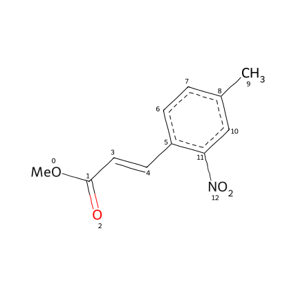 COC(=O)C=Cc1ccc(C)cc1[N+](=O)[O-]